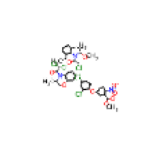 CC1COc2ccccc2N1C(=O)C(Cl)Cl.CCc1cccc(CC)c1N(COC)C(=O)CCl.COC(=O)c1cc(Oc2ccc(Cl)cc2Cl)ccc1[N+](=O)[O-]